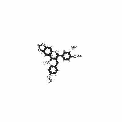 COc1ccc(C(=O)C(Cc2ccc(OC(C)C)cc2)=C(C(=O)[O-])c2ccc3c(c2)OCO3)cc1.[Na+]